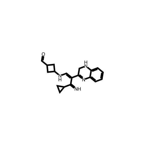 N=C(/C(=C\NC1CC(C=O)C1)C1=Nc2ccccc2NC1)C1CC1